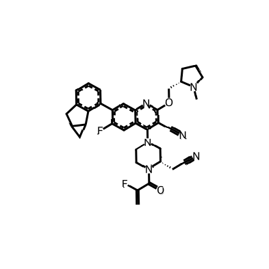 C=C(F)C(=O)N1CCN(c2c(C#N)c(OC[C@@H]3CCCN3C)nc3cc(-c4cccc5c4C4CC4C5)c(F)cc23)C[C@@H]1CC#N